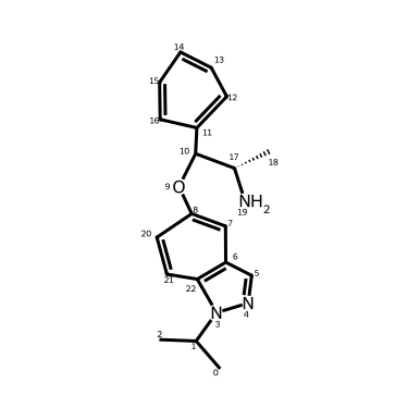 CC(C)n1ncc2cc(OC(c3ccccc3)[C@H](C)N)ccc21